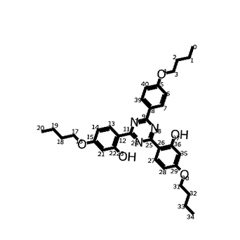 CCCCOc1ccc(-c2nc(-c3ccc(OCCCC)cc3O)nc(-c3ccc(OCCCC)cc3O)n2)cc1